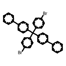 Brc1ccc(C(c2ccc(Br)cc2)(c2ccc(-c3ccccc3)cc2)c2ccc(-c3ccccc3)cc2)cc1